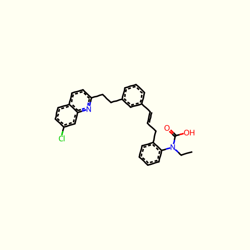 CCN(C(=O)O)c1ccccc1CC=Cc1cccc(CCc2ccc3ccc(Cl)cc3n2)c1